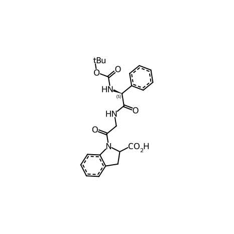 CC(C)(C)OC(=O)N[C@H](C(=O)NCC(=O)N1c2ccccc2CC1C(=O)O)c1ccccc1